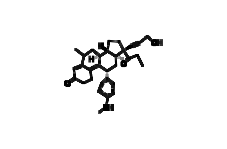 CCC(=O)[C@@]1(C#CCO)CC[C@H]2[C@@H]3CC(C)C4=CC(=O)CCC4=C3[C@@H](c3ccc(NC)cc3)C[C@@]21C